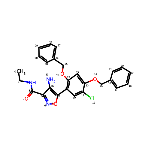 CCNC(=O)c1noc(-c2cc(Cl)c(OCc3ccccc3)cc2OCc2ccccc2)c1N